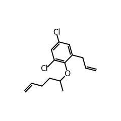 C=CCCC(C)Oc1c(Cl)cc(Cl)cc1CC=C